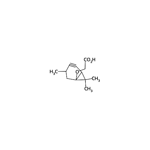 CC1C#CC2C(C)(C)C2(OCC(=O)O)C1